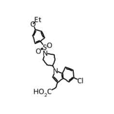 CCOc1ccc(S(=O)(=O)N2CCC(n3cc(CC(=O)O)c4cc(Cl)ccc43)CC2)cc1